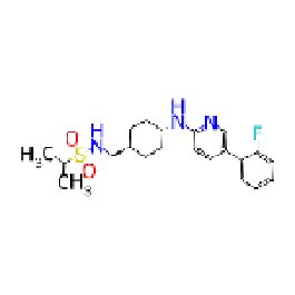 CC(C)S(=O)(=O)NC[C@H]1CC[C@H](Nc2ccc(-c3ccccc3F)cn2)CC1